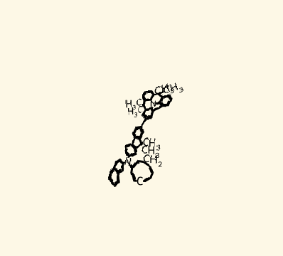 C=C1/C=C\C=C/C/C=C\C(N(c2ccc3c(c2)C(C)(C)c2cc(-c4cc5c6c(c4)c4cccc7c4n6-c4c(cccc4C5(C)C)C7(C)C)ccc2-3)c2ccc3ccccc3c2)=C/1